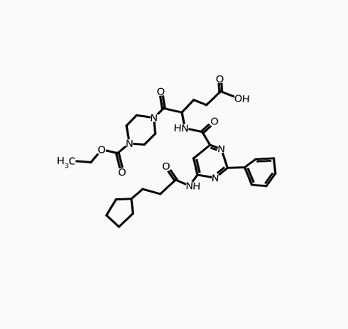 CCOC(=O)N1CCN(C(=O)C(CCC(=O)O)NC(=O)c2cc(NC(=O)CCC3CCCC3)nc(-c3ccccc3)n2)CC1